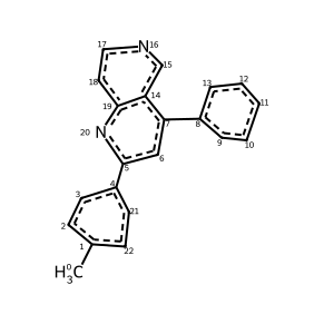 Cc1ccc(-c2cc(-c3ccccc3)c3cnccc3n2)cc1